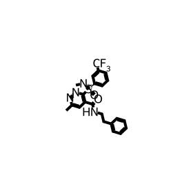 CN=[S@@](=O)(c1cccc(C(F)(F)F)c1)c1nnc(C)cc1C(=O)NCCc1ccccc1